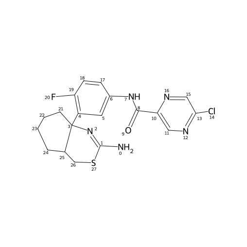 NC1=NC2(c3cc(NC(=O)c4cnc(Cl)cn4)ccc3F)CCCCC2CS1